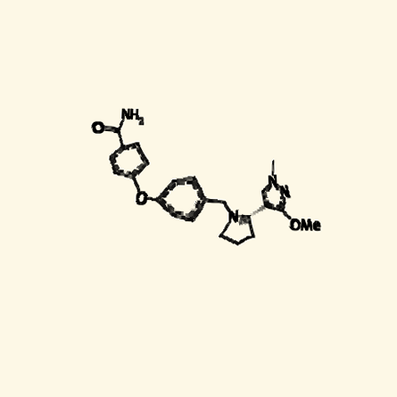 COc1nn(C)cc1[C@@H]1CCCN1Cc1ccc(Oc2ccc(C(N)=O)cc2)cc1